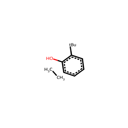 CC.CC(C)(C)c1ccccc1O